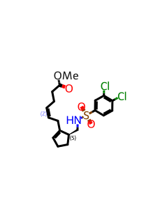 COC(=O)CC/C=C\CC1=CCC[C@@H]1CNS(=O)(=O)c1ccc(Cl)c(Cl)c1